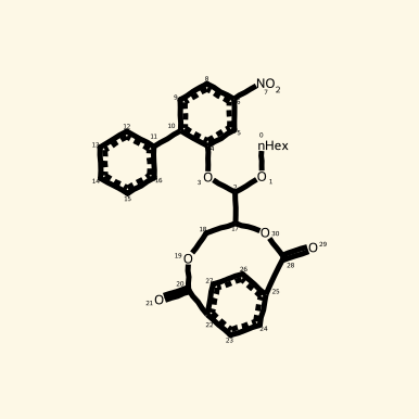 CCCCCCOC(Oc1cc([N+](=O)[O-])ccc1-c1ccccc1)C1COC(=O)c2ccc(cc2)C(=O)O1